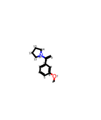 C=C(c1cccc(OC)c1)N1CCCC1